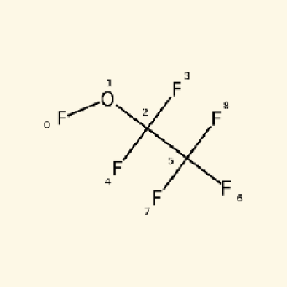 FOC(F)(F)C(F)(F)F